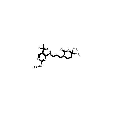 CSc1ncc(C(F)(F)F)c(NCCCN2CCC(C)(C)OC2=O)n1